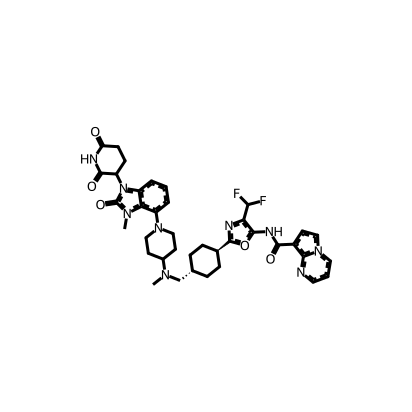 CN(C[C@H]1CC[C@H](c2nc(C(F)F)c(NC(=O)c3ccn4cccnc34)o2)CC1)C1CCN(c2cccc3c2n(C)c(=O)n3C2CCC(=O)NC2=O)CC1